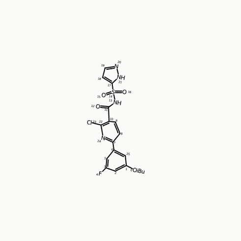 CC(C)COc1cc(F)cc(-c2ccc(C(=O)NS(=O)(=O)c3ccn[nH]3)c(Cl)n2)c1